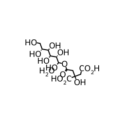 O.O=C(O)CC(O)(CC(=O)OC(O)[C@@H](O)[C@@H](O)[C@H](O)[C@H](O)CO)C(=O)O